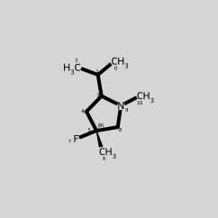 CC(C)C1C[C@@](C)(F)CN1C